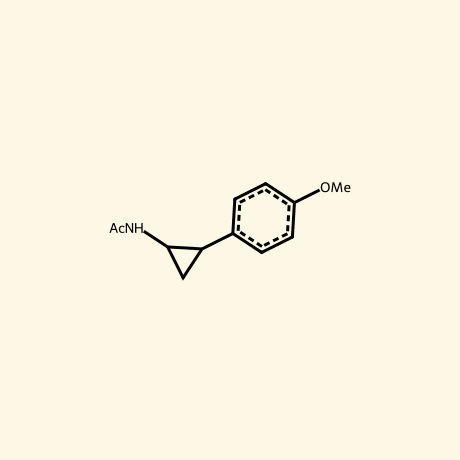 COc1ccc(C2CC2NC(C)=O)cc1